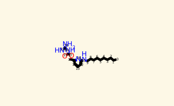 CCCCCCCCCCNc1cccc(COC(=O)NC(=N)N)n1